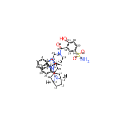 Cc1nc2ccccc2n1C1C[C@H]2CC[C@@H](C1)N2CCC1(c2ccccc2)CCN(C(=O)c2cc(S(N)(=O)=O)ccc2O)CC1